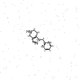 c1cnc(Cn2ncc3c2CCNC3)nc1